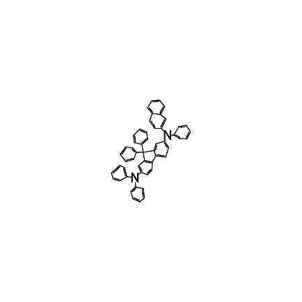 c1ccc(N(c2ccccc2)c2ccc3c(c2)C(c2ccccc2)(c2ccccc2)c2cc(N(c4ccccc4)c4ccc5ccccc5c4)ccc2-3)cc1